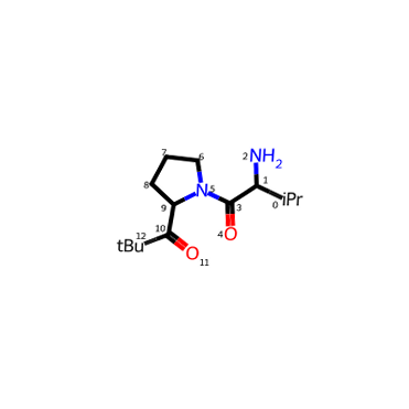 CC(C)C(N)C(=O)N1CCCC1C(=O)C(C)(C)C